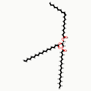 CCCCCCCC/C=C\CCCCCCCCCC(=O)OC[C@@H](COC(=O)CCCCCCCCCCCCCCCCC)OC(=O)CCCCCCCCCCCCCCCCC